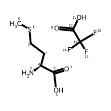 CSCC[C@H](N)C(=O)O.O=C(O)C(F)(F)F